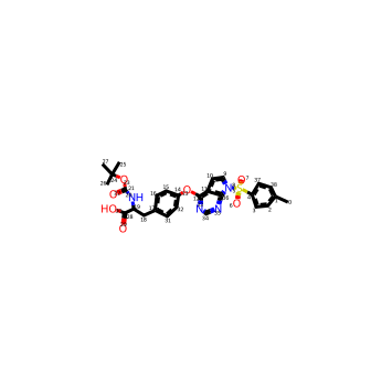 Cc1ccc(S(=O)(=O)n2ccc3c(Oc4ccc(CC(NC(=O)OC(C)(C)C)C(=O)O)cc4)ncnc32)cc1